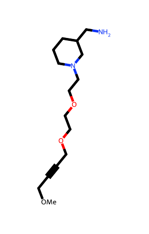 COCC#CCOCCOCCN1CCCC(CN)C1